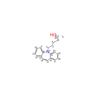 C[C@@H](O)CCCCN1c2ccccc2C=Cc2ccccc21